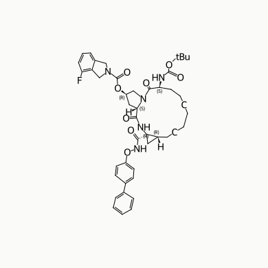 CC(C)(C)OC(=O)N[C@H]1CCCCCCC[C@@H]2C[C@@]2(C(=O)NOc2ccc(-c3ccccc3)cc2)NC(=O)[C@@H]2C[C@@H](OC(=O)N3Cc4cccc(F)c4C3)CN2C1=O